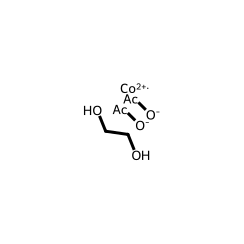 CC(=O)[O-].CC(=O)[O-].OCCO.[Co+2]